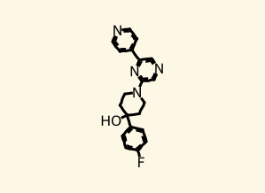 OC1(c2ccc(F)cc2)CCN(c2cncc(-c3ccncc3)n2)CC1